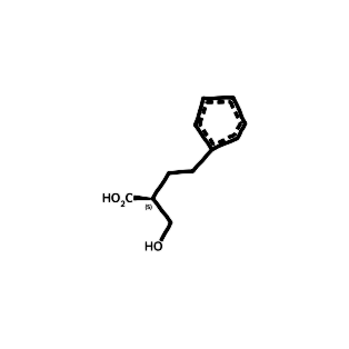 O=C(O)[C@H](CO)CCc1ccccc1